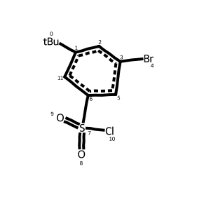 CC(C)(C)c1cc(Br)cc(S(=O)(=O)Cl)c1